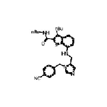 CCCCNC(=O)c1sc2c(NCc3cncn3Cc3ccc(C#N)cc3)cccc2c1CCCC